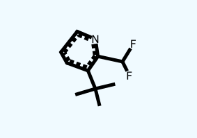 CC(C)(C)c1cccnc1C(F)F